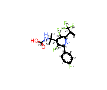 C=C(c1nc(-c2ccc(F)cc2)c(F)c(C(C)(C)NC(=O)O)c1F)C(F)(F)F